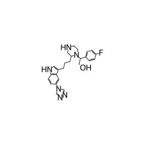 OCC(c1ccc(F)cc1)N1CCNCC1CCCc1c[nH]c2ccc(-n3cnnc3)cc12